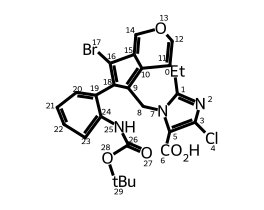 CCc1nc(Cl)c(C(=O)O)n1Cc1c2ccocc-2c(Br)c1-c1ccccc1NC(=O)OC(C)(C)C